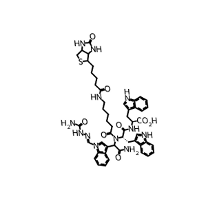 NC(=O)NN=Cn1cc(C(C(N)=O)N(C(=O)CCCCCNC(=O)CCCCC2SCC3NC(=O)NC32)[C@@H](Cc2c[nH]c3ccccc23)C(=O)N[C@@H](Cc2c[nH]c3ccccc23)C(=O)O)c2ccccc21